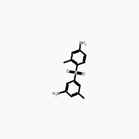 Cc1cc(N)cc(S(=O)(=O)c2ccc(N)cc2C)c1